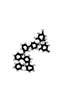 Cc1cc(C)c(B(c2ccc(-c3cccc(-n4c5ccccc5c5c4ccc4c6ccccc6n(-c6ccccc6)c45)c3)cc2)c2c(C)cc(C)cc2C)c(C)c1